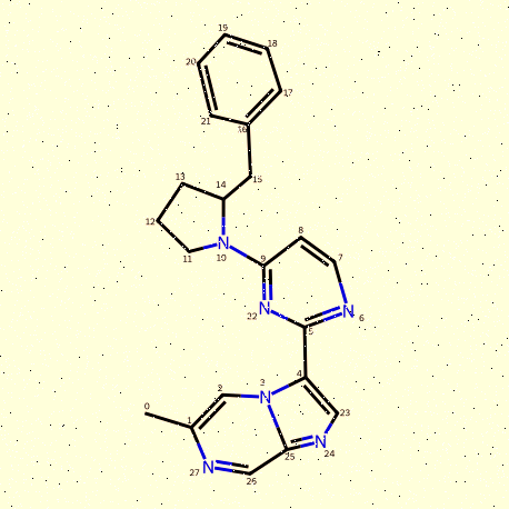 Cc1cn2c(-c3nccc(N4CCCC4Cc4ccccc4)n3)cnc2cn1